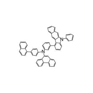 c1ccc(-n2c3cc4ccccc4cc3c3c(-c4cccc(N(c5ccc(-c6cccc7ccccc67)cc5)c5cc6ccccc6c6ccccc56)c4)cccc32)cc1